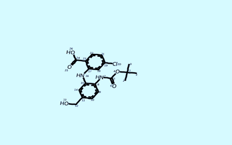 CC(C)(C)OC(=O)Nc1ccc(CO)cc1Nc1cc(Cl)ccc1C(=O)O